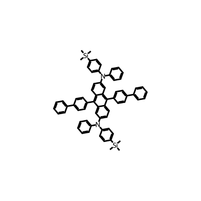 C[Si](C)(C)c1ccc(N(c2ccccc2)c2ccc3c(-c4ccc(-c5ccccc5)cc4)c4cc(N(c5ccccc5)c5ccc([Si](C)(C)C)cc5)ccc4c(-c4ccc(-c5ccccc5)cc4)c3c2)cc1